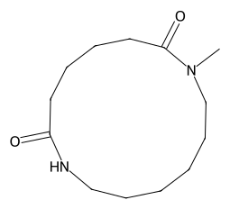 CN1CCCCCCNC(=O)CCCCC1=O